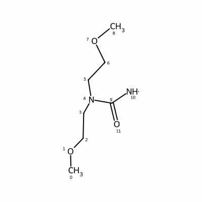 COCCN(CCOC)C([NH])=O